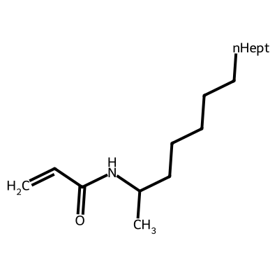 C=CC(=O)NC(C)CCCCCCCCCCCC